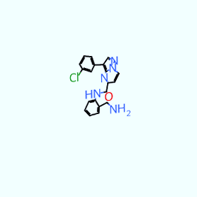 NCc1ccccc1NC(=O)c1ccn2ncc(-c3cccc(Cl)c3)c2n1